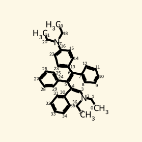 CCN(C=C(C(=C(c1ccccc1)c1ccc(N(CC)CC)cc1)c1ccccc1)c1ccccc1)CC